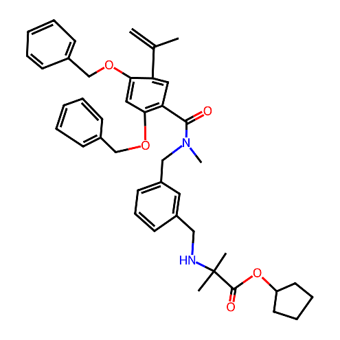 C=C(C)c1cc(C(=O)N(C)Cc2cccc(CNC(C)(C)C(=O)OC3CCCC3)c2)c(OCc2ccccc2)cc1OCc1ccccc1